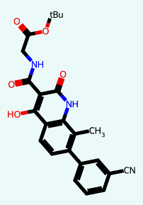 Cc1c(-c2cccc(C#N)c2)ccc2c(O)c(C(=O)NCC(=O)OC(C)(C)C)c(=O)[nH]c12